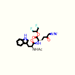 CC(=O)N[C@@H](Cc1c[nH]c2ccccc12)C(=O)N[C@@H](CCC(=O)C=[N+]=[N-])C(=O)OC(CF)CF